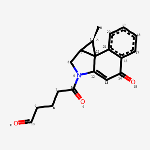 C[C@@H]1C2CN(C(=O)CCCC=O)C3=CC(=O)c4ccccc4C321